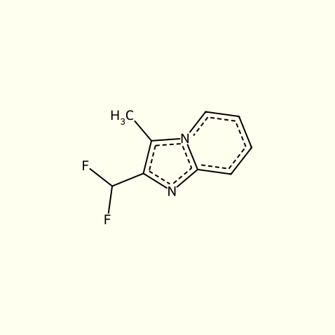 Cc1c(C(F)F)nc2ccccn12